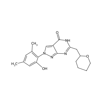 Cc1cc(C)c(-n2cc3c(=O)[nH]c(CC4CCCCO4)nc3n2)c(O)c1